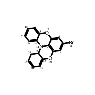 Brc1cc2c3c(c1)Oc1ccccc1N3C1CC=CC=C1O2